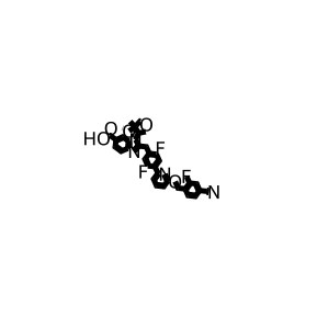 COC1(C)COCC1n1c(Cc2cc(F)c(-c3cccc(OCc4ccc(C#N)cc4F)n3)cc2F)nc2ccc(C(=O)O)cc21